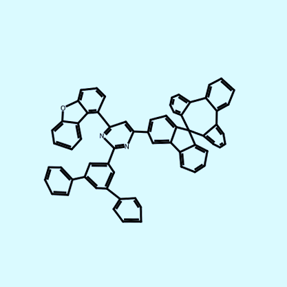 c1ccc(-c2cc(-c3ccccc3)cc(-c3nc(-c4ccc5c(c4)-c4ccccc4C54c5ccccc5-c5ccccc5-c5ccccc54)cc(-c4cccc5oc6ccccc6c45)n3)c2)cc1